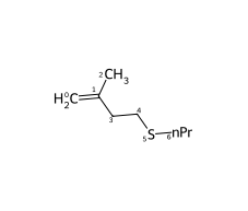 C=C(C)CCSCCC